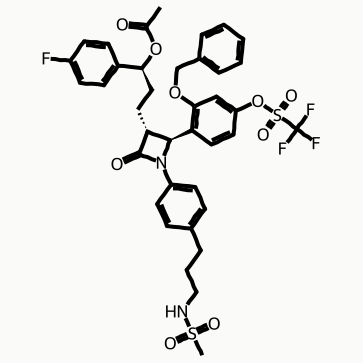 CC(=O)O[C@@H](CC[C@H]1C(=O)N(c2ccc(CCCNS(C)(=O)=O)cc2)[C@@H]1c1ccc(OS(=O)(=O)C(F)(F)F)cc1OCc1ccccc1)c1ccc(F)cc1